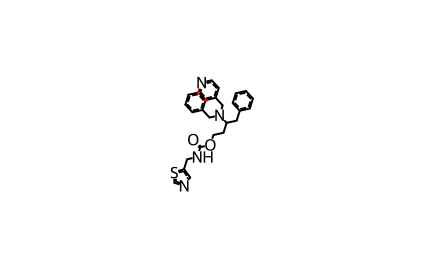 O=C(NCc1cncs1)OCCC(Cc1ccccc1)N(Cc1ccccc1)Cc1ccncc1